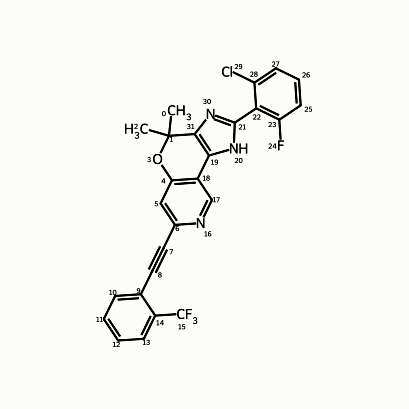 CC1(C)Oc2cc(C#Cc3ccccc3C(F)(F)F)ncc2-c2[nH]c(-c3c(F)cccc3Cl)nc21